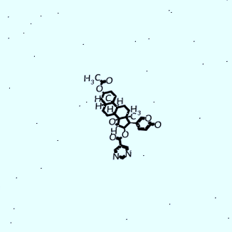 CC(=O)O[C@H]1CC[C@@]2(C)[C@H](CC[C@@H]3[C@@H]2CC[C@]2(C)[C@@H](c4ccc(=O)oc4)[C@@H](OC(=O)c4cncnc4)[C@H]4O[C@]342)C1